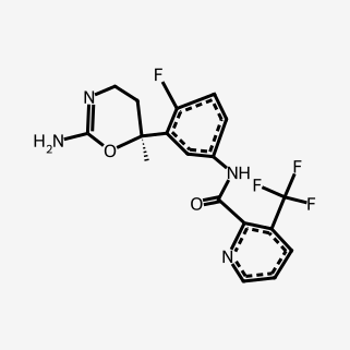 C[C@@]1(c2cc(NC(=O)c3ncccc3C(F)(F)F)ccc2F)CCN=C(N)O1